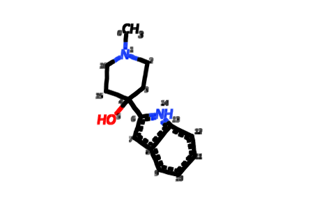 CN1CCC(O)(c2cc3ccccc3[nH]2)CC1